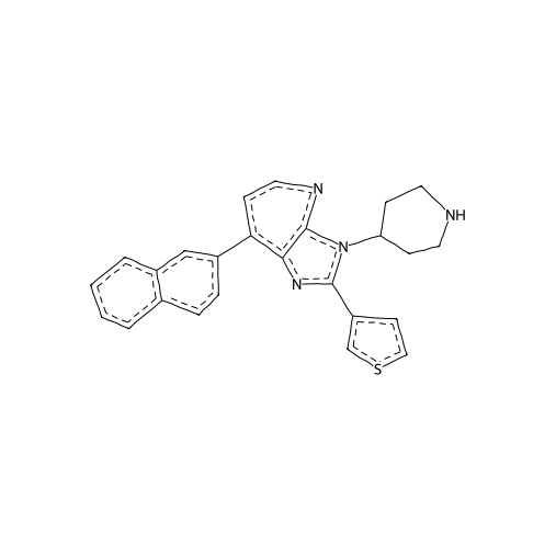 c1ccc2cc(-c3ccnc4c3nc(-c3ccsc3)n4C3CCNCC3)ccc2c1